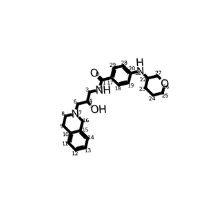 O=C(NCC(O)CN1CCc2ccccc2C1)c1ccc(NC2CCCOC2)cc1